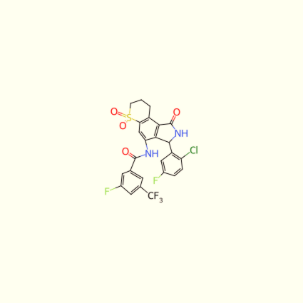 O=C(Nc1cc2c(c3c1C(c1cc(F)ccc1Cl)NC3=O)CCCS2(=O)=O)c1cc(F)cc(C(F)(F)F)c1